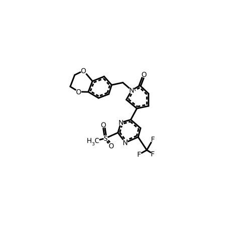 CS(=O)(=O)c1nc(-c2ccc(=O)n(Cc3ccc4c(c3)OCCO4)c2)cc(C(F)(F)F)n1